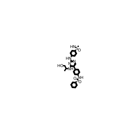 CC(CO)Nc1nc(Nc2ccc(S(C)(=N)=O)cc2)ncc1-c1ccc(NS(=O)(=O)c2ccccc2)cc1